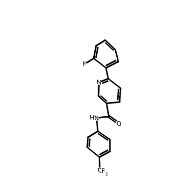 O=C(Nc1ccc(C(F)(F)F)cc1)c1ccc(-c2ccccc2F)nc1